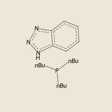 CCCCP(CCCC)CCCC.c1ccc2[nH]nnc2c1